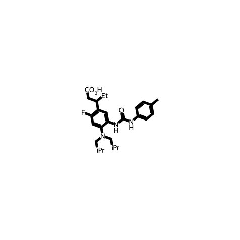 CCC(CC(=O)O)c1cc(NC(=O)Nc2ccc(C)cc2)c(N(CC(C)C)CC(C)C)cc1F